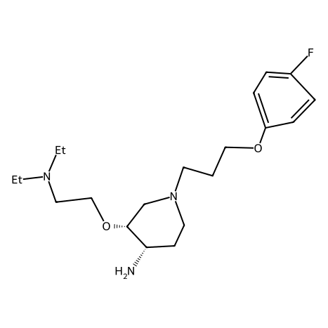 CCN(CC)CCO[C@@H]1CN(CCCOc2ccc(F)cc2)CC[C@@H]1N